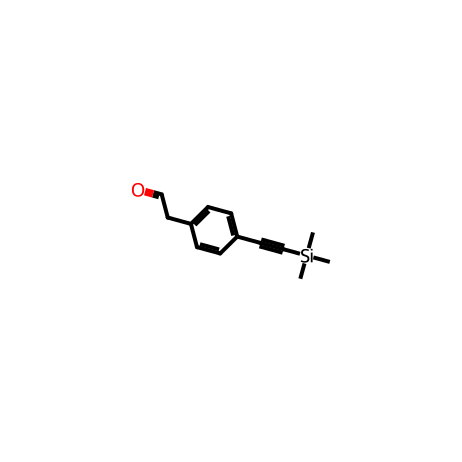 C[Si](C)(C)C#Cc1ccc(CC=O)cc1